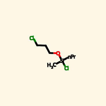 CCC[Si](C)(Cl)OCCCCl